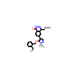 CNCc1n[nH]c(=O)c2ccc(-c3cnn(C)c3OCc3ccccc3CCl)cc12